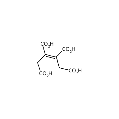 O=C(O)CC(C(=O)O)=C(CC(=O)O)C(=O)O